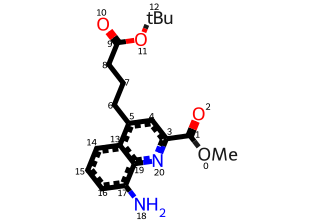 COC(=O)c1cc(CCCC(=O)OC(C)(C)C)c2cccc(N)c2n1